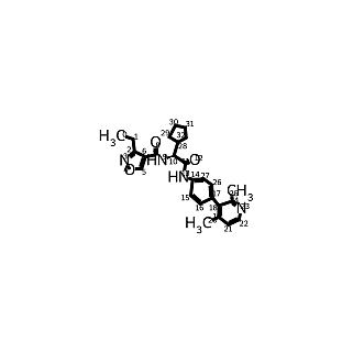 CCc1nocc1C(=O)N[C@H](C(=O)Nc1ccc(-c2c(C)ccnc2C)cc1)C1CCCC1